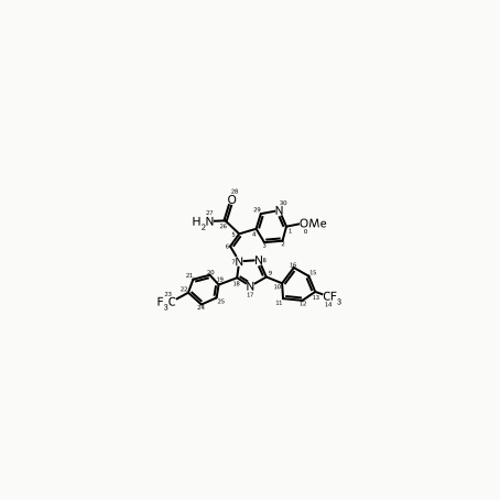 COc1ccc(/C(=C\n2nc(-c3ccc(C(F)(F)F)cc3)nc2-c2ccc(C(F)(F)F)cc2)C(N)=O)cn1